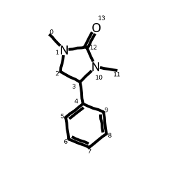 CN1CC(c2ccccc2)N(C)C1=O